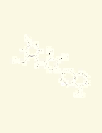 Cc1ncnc(C)c1/C=C\C[C@@H]1C[C@H](Oc2ccc(F)cc2CO)[C@@H](O)[C@H]1O